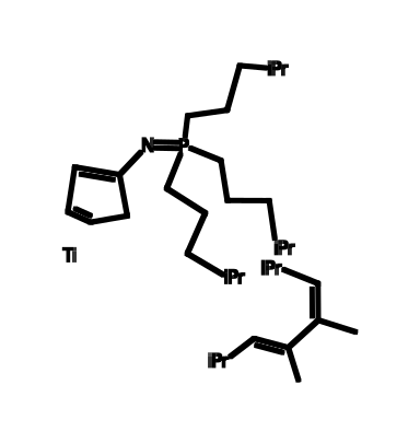 CC(=CC(C)C)C(C)=CC(C)C.CC(C)CCCP(CCCC(C)C)(CCCC(C)C)=NC1=CC=CC1.[Ti]